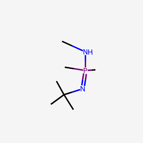 CNP(C)(C)=NC(C)(C)C